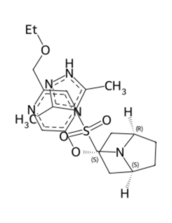 CCOCc1cnc(O[C@@H]2C[C@H]3CC[C@@H](C2)N3CS(=O)(=O)c2c(C)n[nH]c2C)cn1